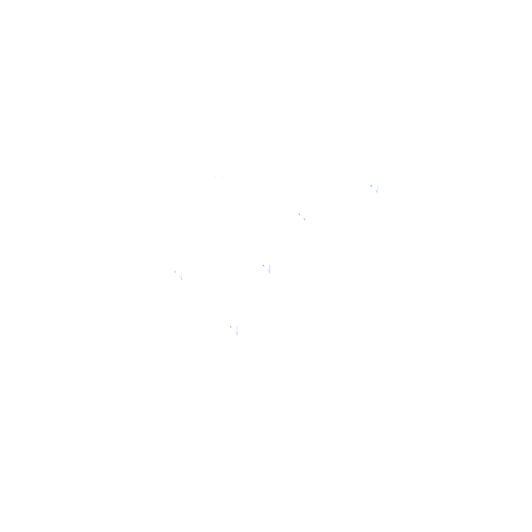 c1ccc(-n2c3ccccc3c3c4ccccc4n(-c4cccc(-n5c6ccccc6c6c7ccccc7n(-c7ccccc7)c65)n4)c32)cc1